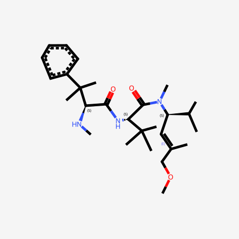 CN[C@H](C(=O)N[C@H](C(=O)N(C)[C@H](/C=C(\C)COC)C(C)C)C(C)(C)C)C(C)(C)c1ccccc1